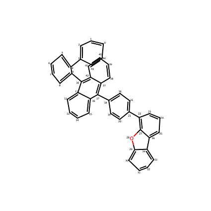 c1ccc(-c2ccccc2-c2c3ccccc3c(-c3ccc(-c4cccc5c4oc4ccccc45)cc3)c3ccccc23)cc1